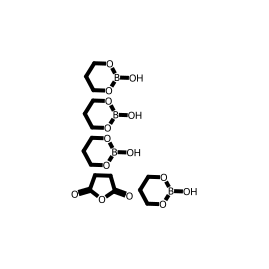 O=C1CCC(=O)O1.OB1OCCCO1.OB1OCCCO1.OB1OCCCO1.OB1OCCCO1